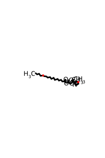 CCCCCCCCCCCCCCCCCC(=O)OC1COC(C)(c2ncccc2C)OC1